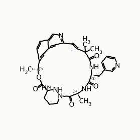 C[C@@H]1NC(=O)[C@H](Cc2cccnc2)NC(=O)C(C)(C)/C=C/c2cc3cc(ccc3cn2)[C@@H](C)OC(=O)[C@@H]2CCCN(N2)C1=O